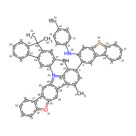 Cc1cc(-c2cc3c(cc2Nc2ccc(C(C)(C)C)cc2)sc2ccccc23)c2c3c1c1cc4oc5ccccc5c4cc1n3-c1cc3c(cc1B2)C(C)(C)c1ccccc1-3